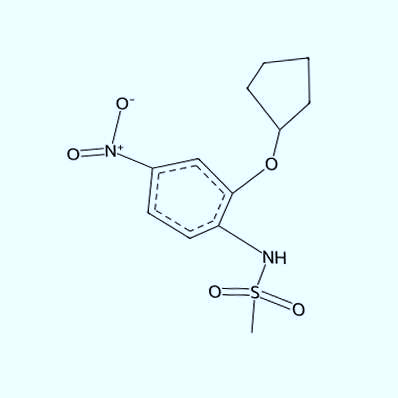 CS(=O)(=O)Nc1ccc([N+](=O)[O-])cc1OC1CCCC1